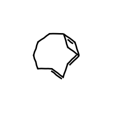 C1=C2CCCC/C=C/C=C/1C2